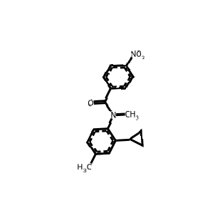 Cc1ccc(N(C)C(=O)c2ccc([N+](=O)[O-])cc2)c(C2CC2)c1